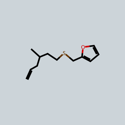 C=CCC(C)CCSCc1ccco1